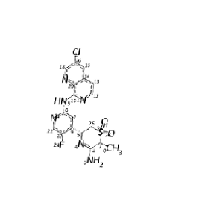 CC1C(N)=N[C@H](c2cc(Nc3nccc4cc(Cl)cnc34)ncc2F)CS1(=O)=O